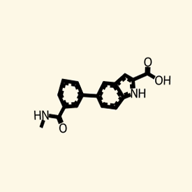 CNC(=O)c1cccc(-c2ccc3[nH]c(C(=O)O)cc3c2)c1